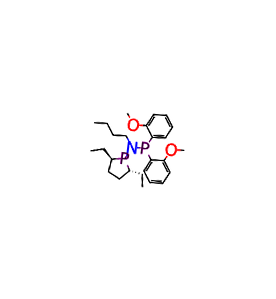 CCCCN(P(c1ccccc1OC)c1ccccc1OC)P1[C@H](CC)CC[C@H]1CC